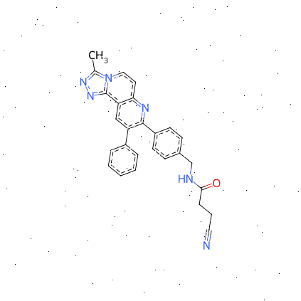 Cc1nnc2c3cc(-c4ccccc4)c(-c4ccc(CNC(=O)CCC#N)cc4)nc3ccn12